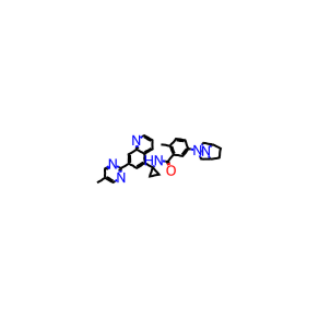 Cc1cnc(-c2cc(C3(NC(=O)c4cc(N5CC6CCC(C5)N6C)ccc4C)CC3)c3cccnc3c2)nc1